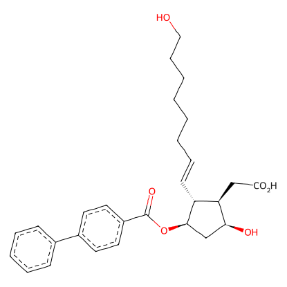 O=C(O)C[C@@H]1[C@@H](C=CCCCCCCO)[C@H](OC(=O)c2ccc(-c3ccccc3)cc2)C[C@@H]1O